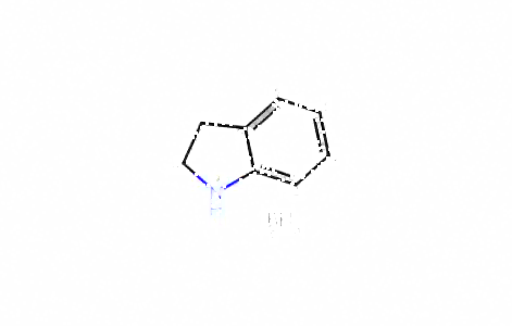 B.c1ccc2c(c1)CCN2